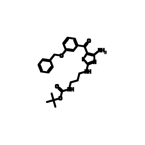 CC(C)(C)OC(=O)NCCCNc1nc(N)c(C(=O)c2cccc(OCc3ccccc3)c2)s1